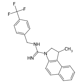 CC1CN(C(=N)NCc2ccc(C(F)(F)F)cc2)c2ccc3ccccc3c21